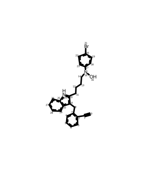 C#Cc1ccccc1Cc1c(CCCCN(O)c2ccc(Br)cc2)[nH]c2ccccc12